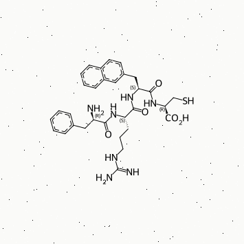 N=C(N)NCCC[C@H](NC(=O)[C@H](N)Cc1ccccc1)C(=O)N[C@@H](Cc1ccc2ccccc2c1)C(=O)N[C@@H](CS)C(=O)O